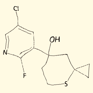 OC1(c2cc(Cl)cnc2F)CCSC2(CC2)C1